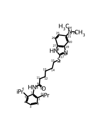 CC(C)c1cccc(C(C)C)c1NC(=O)CCCCCSc1nc2cc(N(C)C)ccc2[nH]1